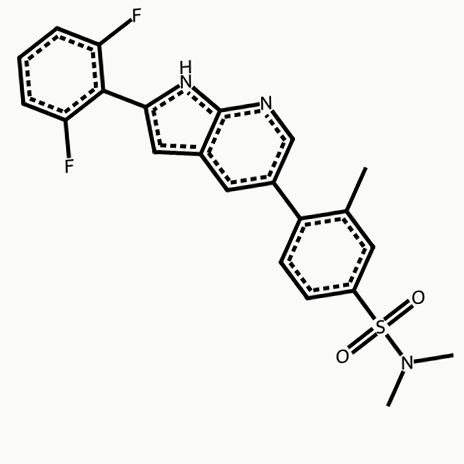 Cc1cc(S(=O)(=O)N(C)C)ccc1-c1cnc2[nH]c(-c3c(F)cccc3F)cc2c1